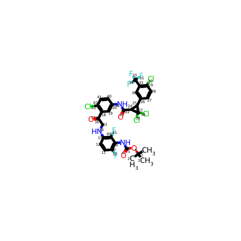 CC(C)(C)OC(=O)Nc1c(F)ccc(NCC(=O)c2cc(NC(=O)C3C(c4ccc(Cl)c(C(F)(F)F)c4)C3(Cl)Cl)ccc2Cl)c1F